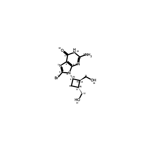 Nc1nc2c(nc(Br)n2[C@H]2C[C@@H](CO)[C@@H]2CO)c(=O)[nH]1